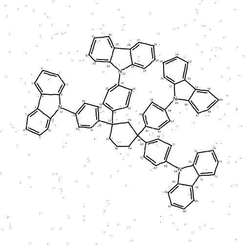 c1ccc2c(c1)c1ccccc1n2-c1ccc(C2(c3ccc(-n4c5ccccc5c5ccccc54)cc3)CCCC(c3ccc(-n4c5ccccc5c5ccccc54)cc3)(c3ccc(-n4c5ccccc5c5ccccc54)cc3)C2)cc1